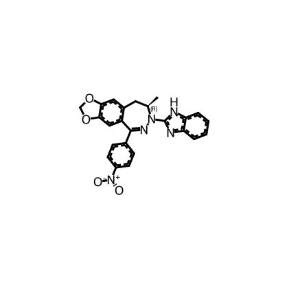 C[C@@H]1Cc2cc3c(cc2C(c2ccc([N+](=O)[O-])cc2)=NN1c1nc2ccccc2[nH]1)OCO3